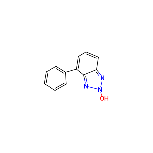 On1nc2cccc(-c3ccccc3)c2n1